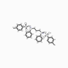 Cc1ccc(S(=O)(=O)/N=S(/CCC/S(=N/S(=O)(=O)c2ccc(C)cc2)c2ccccc2)c2ccccc2)cc1